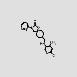 Cc1cc(Cl)nnc1NCC1CCC2(CC1)CN(c1cccnn1)C(=O)O2